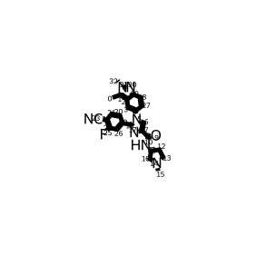 Cc1c2cc(-n3cc(C(=O)N[C@H]4CCN(C)C4)nc3-c3ccc(C#N)c(F)c3)ccc2nn1C